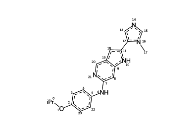 CC(C)Oc1ccc(Nc2cc3[nH]c(-c4cncn4C)cc3cn2)cc1